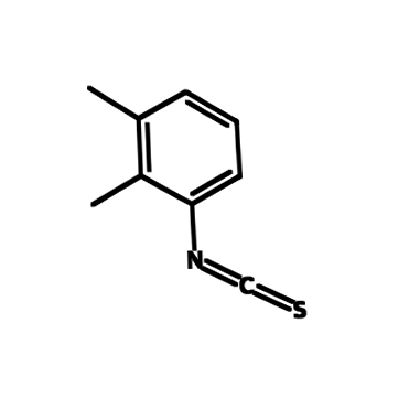 Cc1cccc(N=C=S)c1C